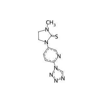 CN1CCN(c2ccc(-n3cnnn3)nc2)C1=S